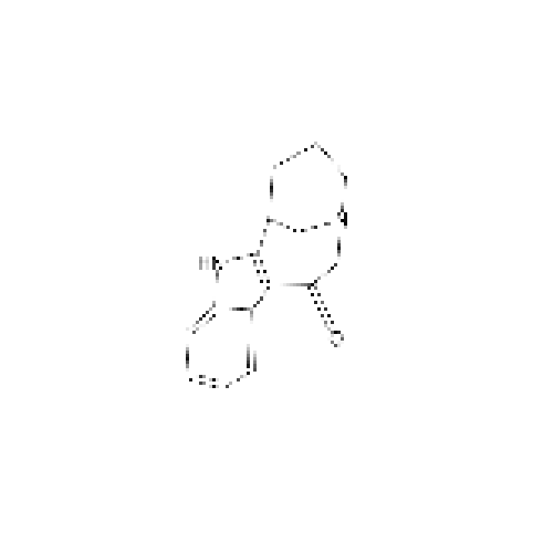 O=C1CN2CCCC(C2)c2[nH]c3ccccc3c21